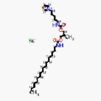 C=C(COC(=O)NCCCCCCCCCCCCCCCCCC)COC(=O)NCCCCC[n+]1ccsc1.[Br-]